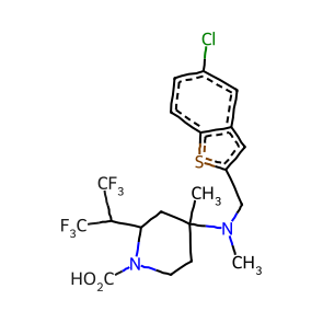 CN(Cc1cc2cc(Cl)ccc2s1)C1(C)CCN(C(=O)O)C(C(C(F)(F)F)C(F)(F)F)C1